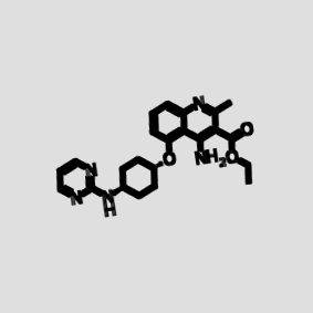 CCOC(=O)c1c(C)nc2cccc(O[C@H]3CC[C@H](Nc4ncccn4)CC3)c2c1N